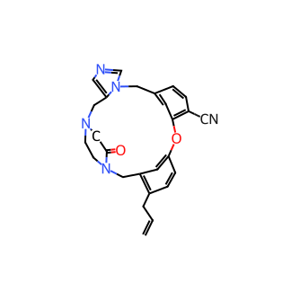 C=CCc1ccc2cc1CN1CCN(CC1=O)Cc1cncn1Cc1ccc(C#N)c(c1)O2